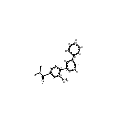 CN(C)C(=O)c1cnc(-c2cncc(-c3ccncc3)c2)c(N)c1